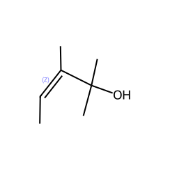 C/C=C(/C)C(C)(C)O